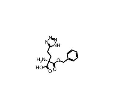 N[C@@](CCc1nnn[nH]1)(C(=O)O)C(=O)OCc1ccccc1